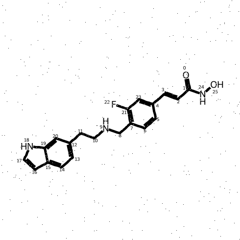 O=C(/C=C/c1ccc(CNCCc2ccc3cc[nH]c3c2)c(F)c1)NO